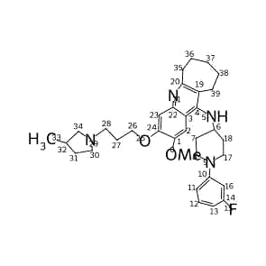 COc1cc2c(NC3CCN(c4cccc(F)c4)CC3)c3c(nc2cc1OCCCN1CCC(C)C1)CCCCC3